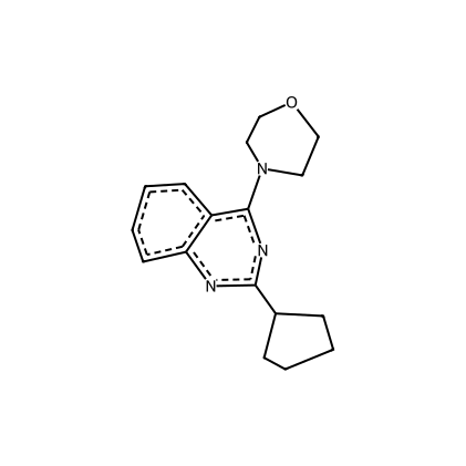 c1ccc2c(N3CCOCC3)nc(C3CCCC3)nc2c1